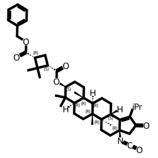 CC(C)C1=C2[C@H]3CC[C@@H]4[C@@]5(C)CC[C@H](OC(=O)[C@H]6C[C@@H](C(=O)OCc7ccccc7)C6(C)C)C(C)(C)[C@@H]5CC[C@@]4(C)[C@]3(C)CC[C@@]2(N=C=O)CC1=O